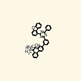 CC1(C)c2ccccc2-c2ccc(-c3cccc(-c4nc(-c5ccccc5)nc(-c5cccc6oc7ccccc7c56)n4)c3)cc2C1(C)C